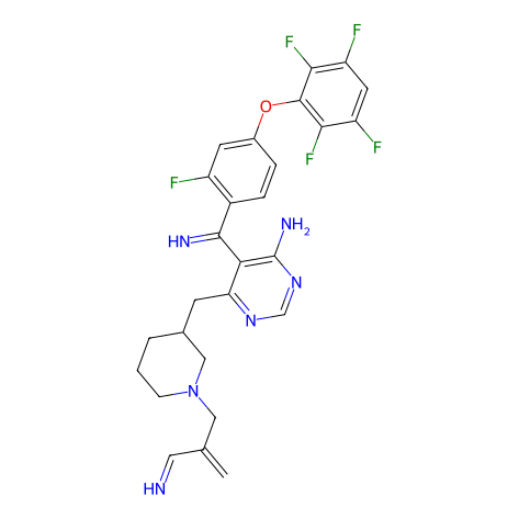 C=C(C=N)CN1CCCC(Cc2ncnc(N)c2C(=N)c2ccc(Oc3c(F)c(F)cc(F)c3F)cc2F)C1